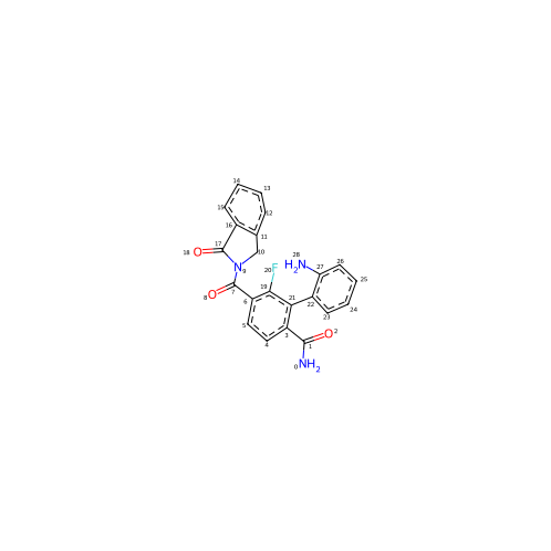 NC(=O)c1ccc(C(=O)N2Cc3ccccc3C2=O)c(F)c1-c1ccccc1N